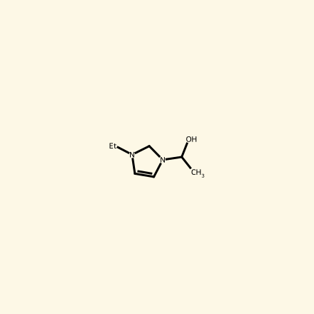 CCN1C=CN(C(C)O)C1